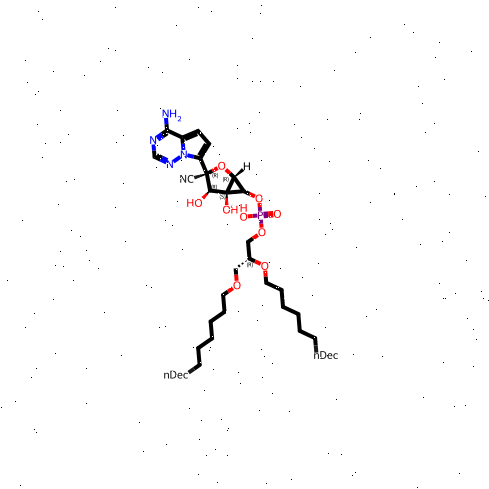 CCCCCCCCCCCCCCCCOC[C@H](COP(=O)(O)OC1[C@H]2O[C@@](C#N)(c3ccc4c(N)ncnn34)[C@H](O)[C@@]12O)OCCCCCCCCCCCCCCCC